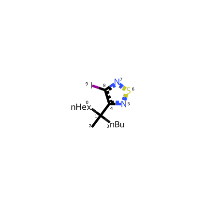 CCCCCCC(C)(CCCC)c1nsnc1I